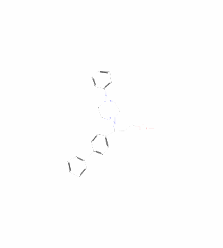 OCCC(c1ccc(-c2ccccc2)cc1)N1CCN(c2ccccc2)CC1